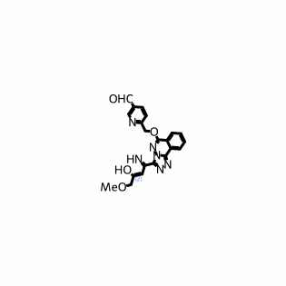 COC/C(O)=C/C(=N)c1nnc2c3ccccc3c(OCc3ccc(C=O)cn3)nn12